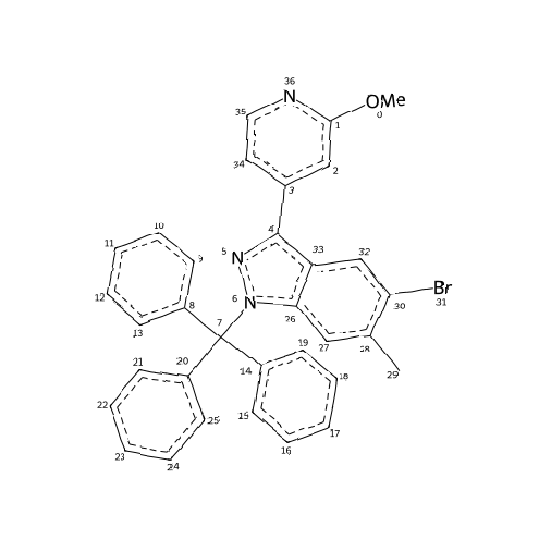 COc1cc(-c2nn(C(c3ccccc3)(c3ccccc3)c3ccccc3)c3cc(C)c(Br)cc23)ccn1